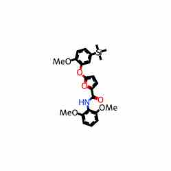 COc1ccc([Si](C)(C)C)cc1Oc1ccc(C(=O)Nc2c(OC)cccc2OC)o1